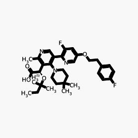 CCC(C)(C)O[C@H](C(=O)O)c1c(C)ncc(-c2ncc(OCCc3ccc(F)cc3)cc2F)c1N1CCC(C)(C)CC1